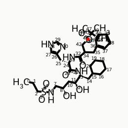 CCCS(=O)(=O)NC[C@@H](O)C[C@H](O)[C@H](CC1CCCCC1)NC(=O)[C@H](Cc1c[nH]cn1)NC(=O)C(Cc1ccccc1)CS(=O)(=O)C(C)(C)C